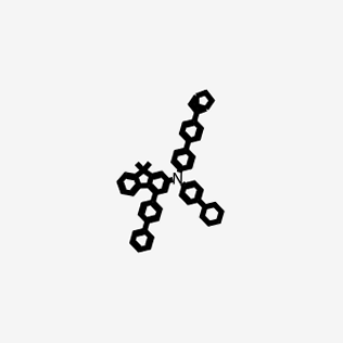 CC1(C)c2ccccc2-c2c(-c3ccc(-c4ccccc4)cc3)cc(N(c3ccc(-c4ccc(C5CC6CCC5C6)cc4)cc3)c3ccc(C4CCCCC4)cc3)cc21